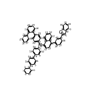 c1ccc(-c2ccc(-c3ccc(N(c4ccc(-c5ccccc5-c5ccccc5)cc4)c4ccc(-c5cccc(-c6cc7ccccc7o6)c5)c5ccccc45)cc3)cc2)cc1